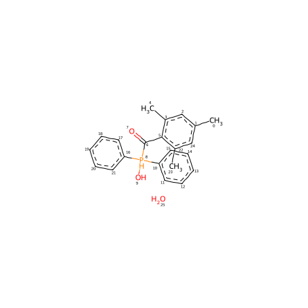 Cc1cc(C)c(C(=O)[PH](O)(c2ccccc2)c2ccccc2)c(C)c1.O